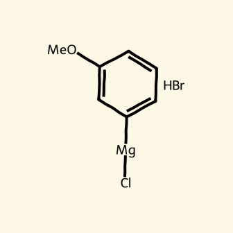 Br.COc1ccc[c]([Mg][Cl])c1